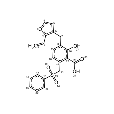 C=Cc1occc1Cc1ccc(CS(=O)(=O)c2ccccc2)c(C(=O)O)c1O